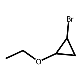 CCOC1CC1Br